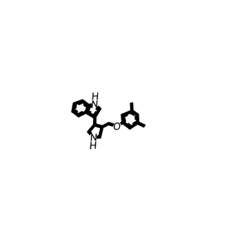 Cc1cc(C)cc(OCC2CNCC2c2c[nH]c3ccccc23)c1